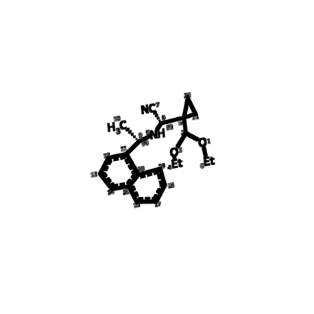 CCOC(OCC)C1([C@@H](C#N)N[C@@H](C)c2cccc3ccccc23)CC1